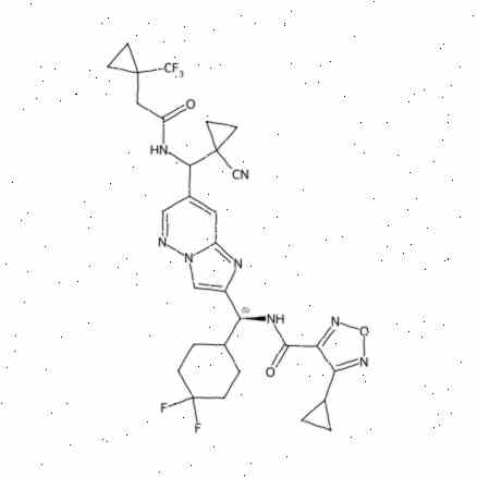 N#CC1(C(NC(=O)CC2(C(F)(F)F)CC2)c2cnn3cc([C@@H](NC(=O)c4nonc4C4CC4)C4CCC(F)(F)CC4)nc3c2)CC1